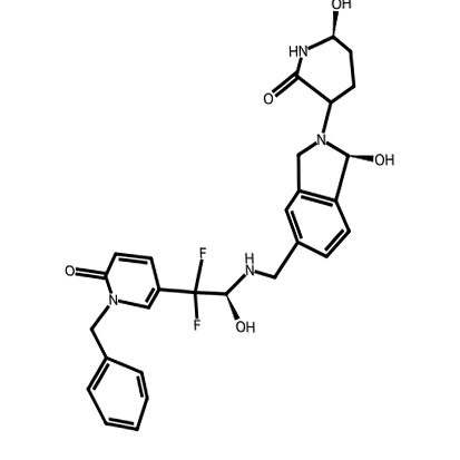 O=C1N[C@@H](O)CCC1N1Cc2cc(CN[C@@H](O)C(F)(F)c3ccc(=O)n(Cc4ccccc4)c3)ccc2[C@@H]1O